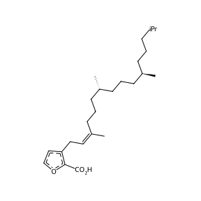 CC(=CCc1ccoc1C(=O)O)CCC[C@H](C)CCC[C@H](C)CCCC(C)C